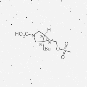 CC(C)(C)[C@@]12CN(C(=O)O)C[C@H]1[C@H]2COS(C)(=O)=O